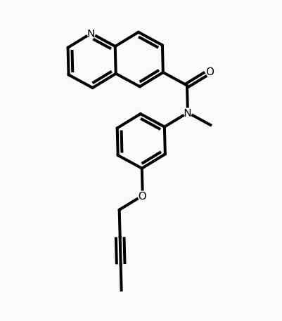 CC#CCOc1cccc(N(C)C(=O)c2ccc3ncccc3c2)c1